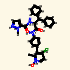 Cc1c(-c2ccc(NC(=O)[C@@H](NC(=O)c3ccnn3C)C(c3ccccc3)c3ccccc3)cc2)c(Cl)cc[n+]1[O-]